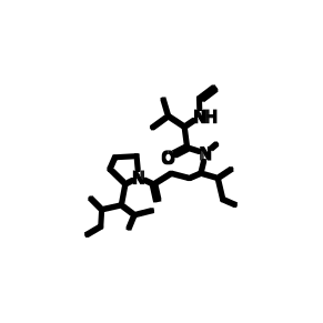 C=CNC(C(=O)N(C)C(CCC(=C)N1CCCC1C(C(C)C)C(C)CC)C(C)CC)C(C)C